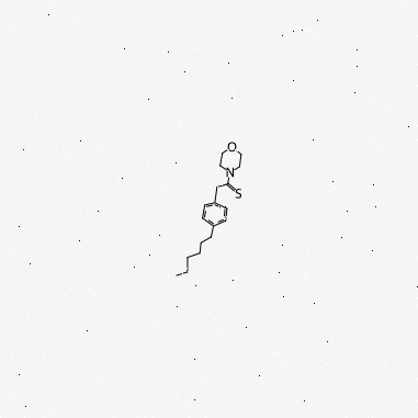 CCCCCCc1ccc(CC(=S)N2CCOCC2)cc1